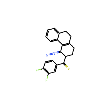 [N-]=[N+]=C1C2=C(CCc3ccccc32)CCC1C(=S)c1ccc(F)c(F)c1